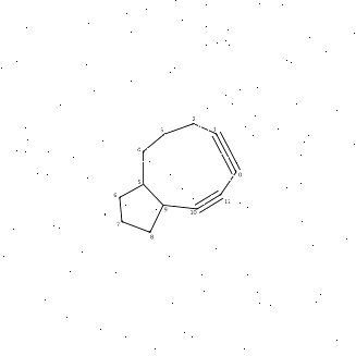 C1#CCCCC2CCCC2C#C1